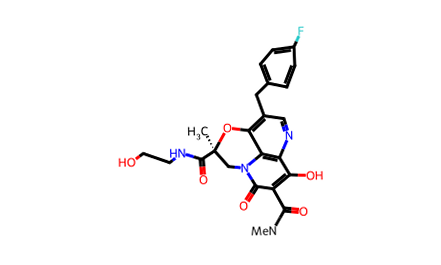 CNC(=O)c1c(O)c2ncc(Cc3ccc(F)cc3)c3c2n(c1=O)C[C@@](C)(C(=O)NCCO)O3